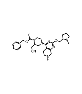 CN1CCCC1COc1nc2c(c(N3CCN(C(=O)OCc4ccccc4)C(CC#N)C3)n1)CCNC2